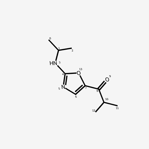 CC(C)Nc1ncc(C(=O)C(C)C)o1